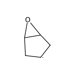 [CH]1CC2OC2C1